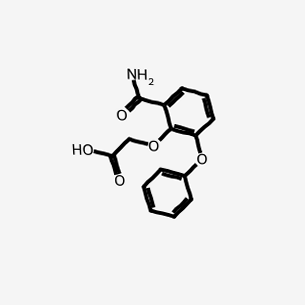 NC(=O)c1cccc(Oc2ccccc2)c1OCC(=O)O